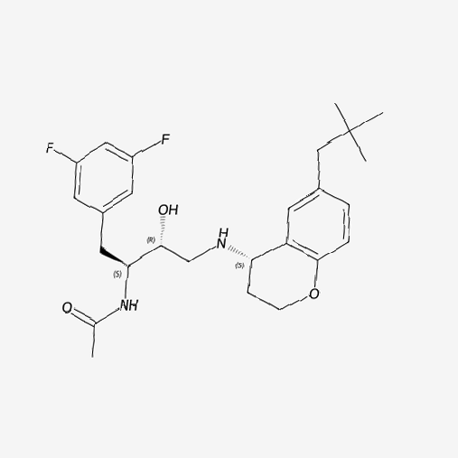 CC(=O)N[C@@H](Cc1cc(F)cc(F)c1)[C@H](O)CN[C@H]1CCOc2ccc(CC(C)(C)C)cc21